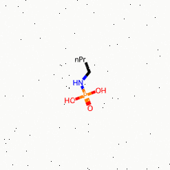 CCCCNP(=O)(O)O